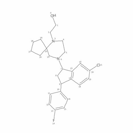 OCCN1CCN(C2CC(c3ccc(F)cc3)c3ccc(Cl)cc32)CC12CCCC2